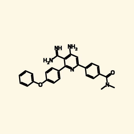 CN(C)C(=O)c1ccc(-c2cc(N)c(C(=N)N)c(-c3ccc(Oc4ccccc4)cc3)n2)cc1